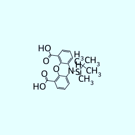 C[SiH](N1c2cccc(C(=O)O)c2Oc2c(C(=O)O)cccc21)C(C)(C)C